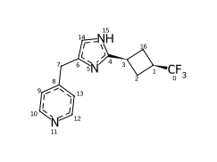 FC(F)(F)[C@H]1C[C@@H](c2nc(Cc3ccncc3)c[nH]2)C1